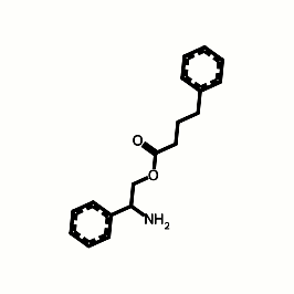 NC(COC(=O)CCCc1ccccc1)c1ccccc1